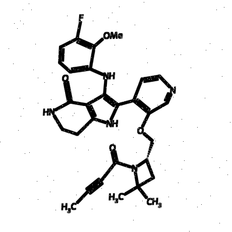 CC#CC(=O)N1[C@H](COc2cnccc2-c2[nH]c3c(c2Nc2cccc(F)c2OC)C(=O)NCC3)CC1(C)C